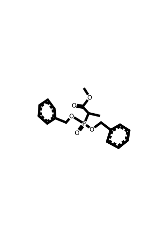 COC(=O)C(C)P(=O)(OCc1ccccc1)OCc1ccccc1